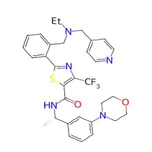 CCN(Cc1ccncc1)Cc1ccccc1-c1nc(C(F)(F)F)c(C(=O)N[C@@H](C)c2cccc(N3CCOCC3)c2)s1